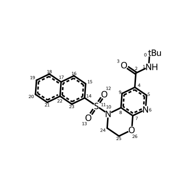 CC(C)(C)NC(=O)c1cnc2c(c1)N(S(=O)(=O)c1ccc3ccccc3c1)CCO2